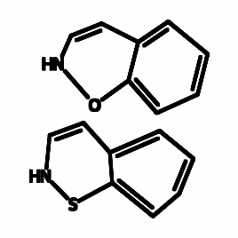 C1=Cc2ccccc2ON1.C1=Cc2ccccc2SN1